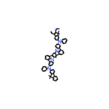 C=CC1=C(/C=C\C)C(C)(C)c2cc(N(c3ccccc3)c3ccc4c(c3)c3cccc5c6cc7c(cc6n4c35)c3cccc4c5cc(N(c6ccccc6)c6ccc8c(c6)C(C)(C)c6ccccc6-8)ccc5n7c43)ccc21